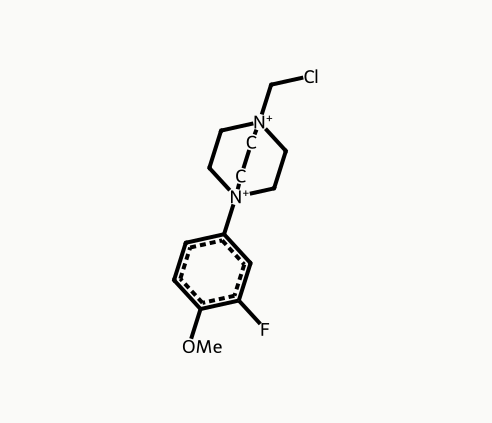 COc1ccc([N+]23CC[N+](CCl)(CC2)CC3)cc1F